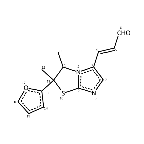 CC1n2c(/C=C/C=O)cnc2SC1(C)c1ccco1